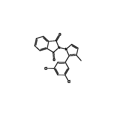 Cc1ccn(N2C(=O)c3ccccc3C2=O)c1-c1cc(Cl)cc(Cl)c1